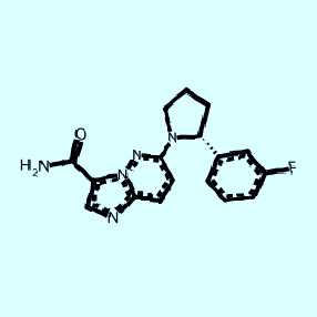 NC(=O)c1cnc2ccc(N3CCC[C@@H]3c3cccc(F)c3)nn12